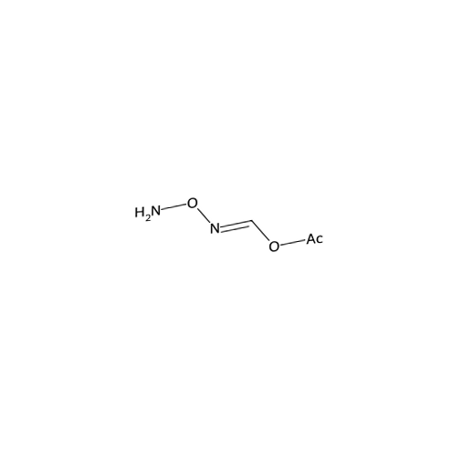 CC(=O)OC=NON